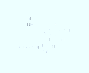 COc1ccc(CNC(C)C)cc1C1=C\CI(CI2(C)(O)C(=O)C(C(N)=O)=C(O)C2N(C)C)C(=O)/C=C(O)/C=C\1